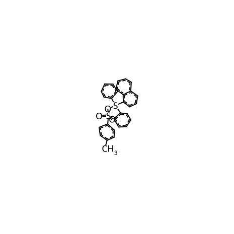 Cc1ccc(S(=O)(=O)OS(c2ccccc2)(c2ccccc2)c2cccc3ccccc23)cc1